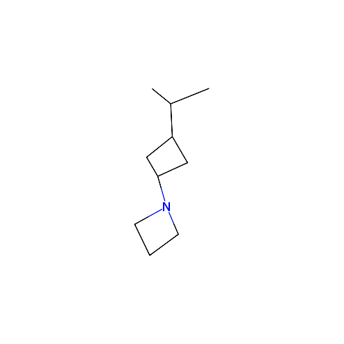 CC(C)C1CC(N2CCC2)C1